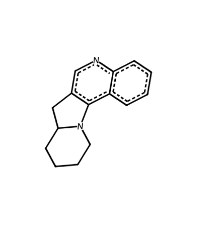 c1ccc2c3c(cnc2c1)CC1CCCCN31